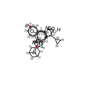 CC(C)Oc1cc(C(=O)O)cc2sc(N3C4CC(NCc5c(-c6ccccc6C(F)(F)F)noc5C5CC5)CC3C4)nc12